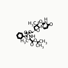 CC(C)OC(=O)[C@H](C)N[P@@](=O)(OC[C@@H]1C[C@@](C)(F)[C@H](n2ccc(=O)[nH]c2=O)O1)Oc1ccccc1